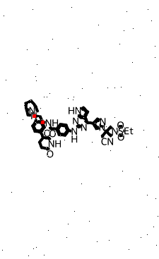 CCS(=O)(=O)N1CC(CC#N)(n2cc(-c3nc(Nc4ccc(C(=O)NCCCN5C6CCC5CN(c5ccc(C7CCC(=O)NC7=O)cc5)C6)cc4)nc4[nH]ccc34)cn2)C1